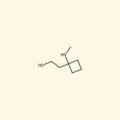 CNC1(CCO)CCC1